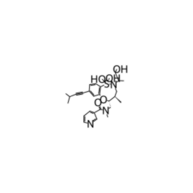 CC(C)C#Cc1ccc2c(c1)O[C@@H](CN(C)C(=O)c1cccnc1)[C@H](C)CN(C(C)CO)S2(O)O